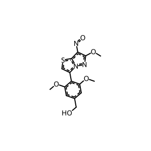 COc1cc(CO)cc(OC)c1-c1csc2c(N=O)c(OC)nn12